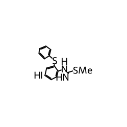 CSC(=N)Nc1ccccc1Sc1ccccc1.I